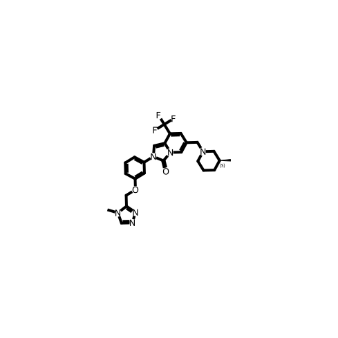 C[C@H]1CCCN(Cc2cc(C(F)(F)F)c3cn(-c4cccc(OCc5nncn5C)c4)c(=O)n3c2)C1